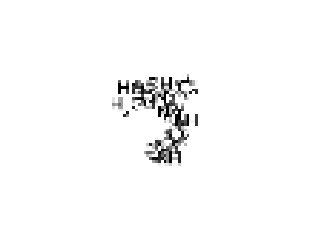 C[C@H]1O[C@@H](n2cc(-c3ccccc3)c3c2N=CN(Nc2ccc(CC4=NCCCN4)cc2)C3)[C@H](O)[C@@H]1O